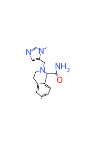 Cn1cncc1CN1CCc2c[c]ccc2C1C(N)=O